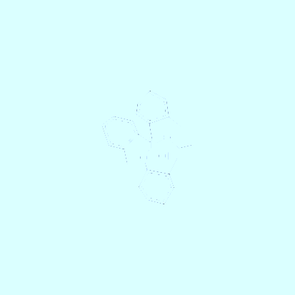 CCOP(O)(Oc1ccccc1C)(c1ccccc1C)c1ccccc1C